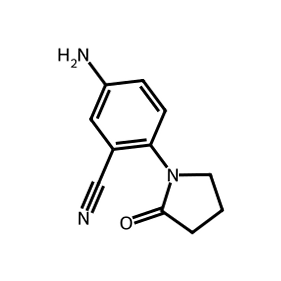 N#Cc1cc(N)ccc1N1CCCC1=O